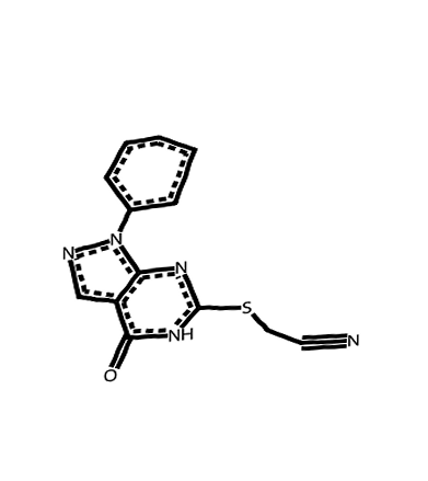 N#CCSc1nc2c(cnn2-c2ccccc2)c(=O)[nH]1